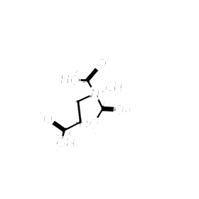 C[N+](CCC(=O)O)(C(=O)O)C(=O)O